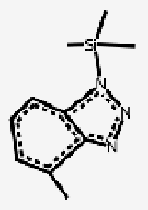 Cc1cccc2c1nnn2[Si](C)(C)C